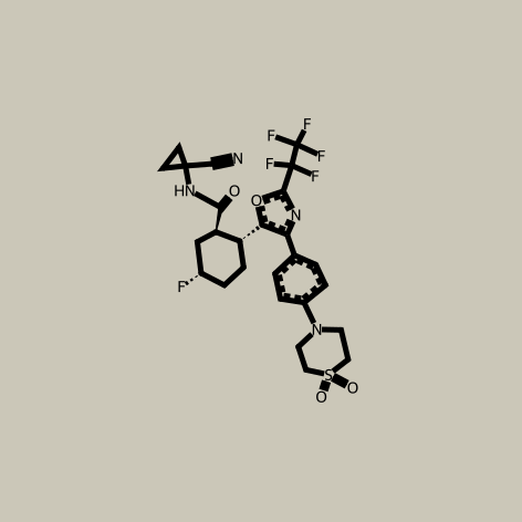 N#CC1(NC(=O)[C@@H]2C[C@@H](F)CC[C@H]2c2oc(C(F)(F)C(F)(F)F)nc2-c2ccc(N3CCS(=O)(=O)CC3)cc2)CC1